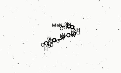 CNC(=O)COc1cc2cc(Nc3nc(N4CCC(c5cn(CCOc6ccc7c(c6)C(=O)N(C6CCC(=O)NC6=O)C7=O)nn5)CC4)ncc3Cl)ccc2n(C)c1=O